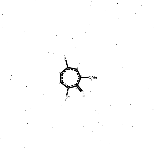 COc1cc(F)ccc(C(C)C)c1=O